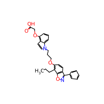 CCCc1c(OCCCn2ccc3c(OCC(=O)O)cccc32)ccc2c(-c3ccccc3)noc12